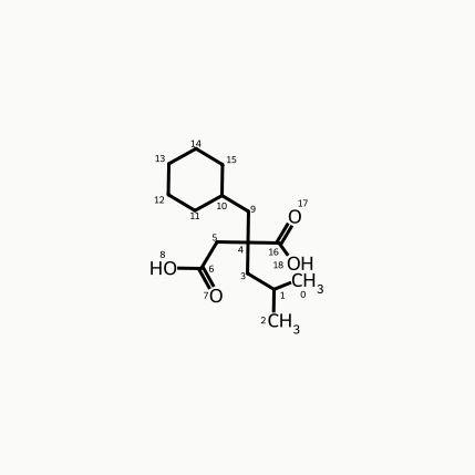 CC(C)CC(CC(=O)O)(CC1CCCCC1)C(=O)O